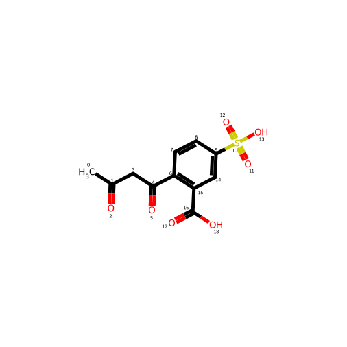 CC(=O)CC(=O)c1ccc(S(=O)(=O)O)cc1C(=O)O